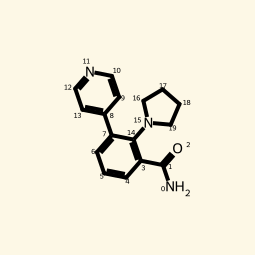 NC(=O)c1cccc(-c2ccncc2)c1N1CCCC1